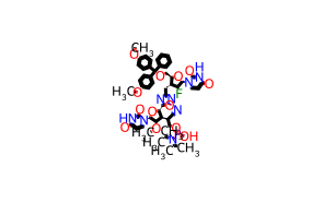 COc1ccc(C(OC[C@H]2O[C@@H](n3ccc(=O)[nH]c3=O)[C@H](F)[C@@H]2Cc2noc([C@H]3O[C@@H](n4ccc(=O)[nH]c4=O)[C@H](OC)[C@@H]3C(C#N)COP(O)N(C(C)C)C(C)C)n2)(c2ccccc2)c2ccc(OC)cc2)cc1